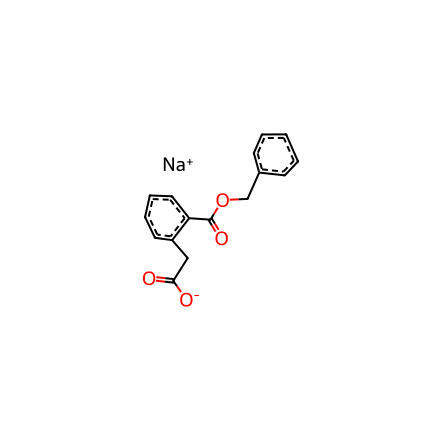 O=C([O-])Cc1ccccc1C(=O)OCc1ccccc1.[Na+]